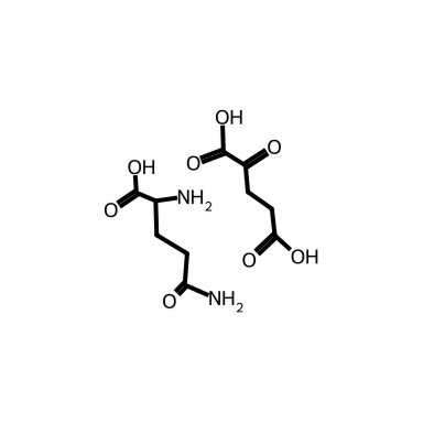 NC(=O)CCC(N)C(=O)O.O=C(O)CCC(=O)C(=O)O